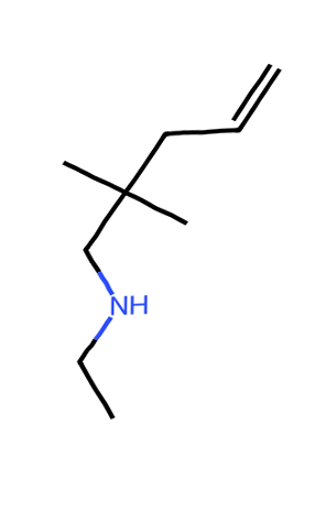 C=CCC(C)(C)CNCC